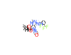 [2H]C([2H])([2H])Oc1c(=O)n(N2CCOCC2)cc2c(N[C@H](C)c3cccc(C(F)F)c3F)nc(C)nc12